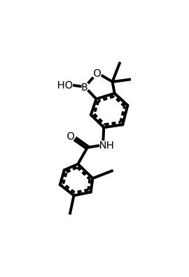 Cc1ccc(C(=O)Nc2ccc3c(c2)B(O)OC3(C)C)c(C)c1